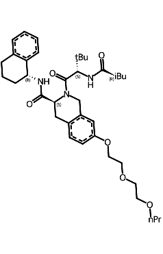 CCCOCCOCCOc1ccc2c(c1)CN(C(=O)[C@@H](NC(=O)[C@H](C)CC)C(C)(C)C)[C@H](C(=O)N[C@@H]1CCCc3ccccc31)C2